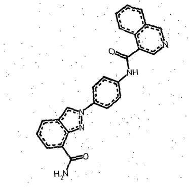 NC(=O)c1cccc2cn(-c3ccc(NC(=O)c4cncc5ccccc45)cc3)nc12